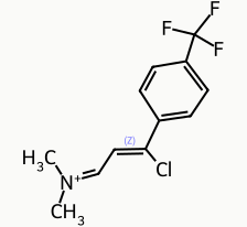 C[N+](C)=C/C=C(\Cl)c1ccc(C(F)(F)F)cc1